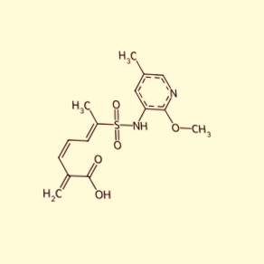 C=C(/C=C\C=C(/C)S(=O)(=O)Nc1cc(C)cnc1OC)C(=O)O